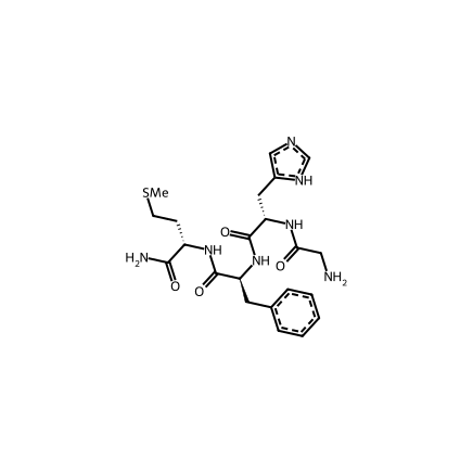 CSCC[C@H](NC(=O)[C@H](Cc1ccccc1)NC(=O)[C@H](Cc1cnc[nH]1)NC(=O)CN)C(N)=O